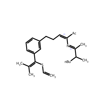 C=CSC(=C(C)C)c1cccc(CC/C=C(\N=C(/C)C(C)CCCC)C(C)=O)c1